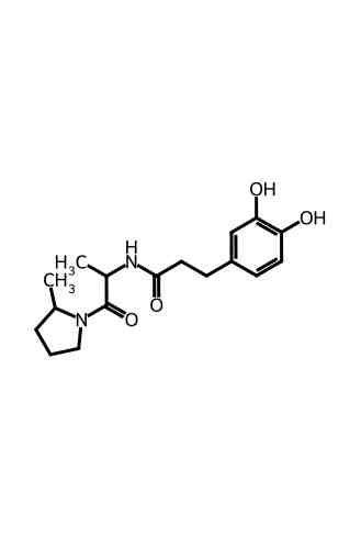 CC(NC(=O)CCc1ccc(O)c(O)c1)C(=O)N1CCCC1C